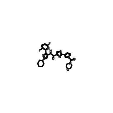 O=C(Nc1cn(C2CCCCC2)nc1-c1nc(F)ccc1F)c1csc(-c2cnn(C(=O)N3CCOCC3)c2)n1